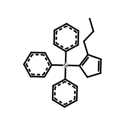 CCCC1=C([Si](c2ccccc2)(c2ccccc2)c2ccccc2)CC=C1